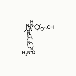 Cc1cn(-c2nc(Nc3cc(C)c(OCCO)c(C)c3)ncc2C)cc1CN1CCCN(C(N)=O)CC1